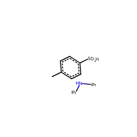 CC(C)NC(C)C.Cc1ccc(S(=O)(=O)O)cc1